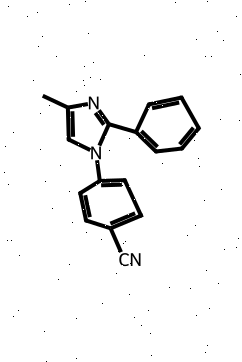 Cc1cn(-c2ccc(C#N)cc2)c(-c2ccccc2)n1